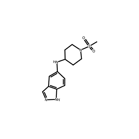 CS(=O)(=O)N1CCC(Nc2ccc3[nH]ncc3c2)CC1